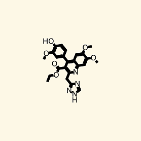 CCOC(=O)c1c(Cc2nc[nH]n2)nc2cc(OC)c(OC)cc2c1-c1ccc(O)c(OC)c1